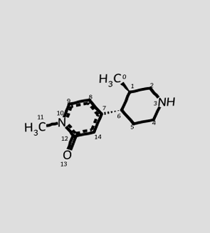 C[C@H]1CNCC[C@@H]1c1ccn(C)c(=O)c1